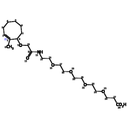 C/C1=C/CCCCCC1OCC(=O)NCCOCCOCCOCCOCCC(=O)O